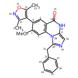 COc1cc2c(cc1-c1c(C)noc1C)c(=O)[nH]c1cnc(Cc3ccccc3)n12